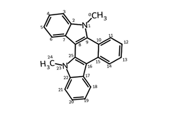 Cn1c2ccccc2c2c1c1ccccc1c1c3ccccc3n(C)c12